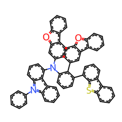 c1ccc(-n2c3ccccc3c3c(N(c4ccc5c(c4)oc4ccccc45)c4cccc(-c5cccc6c5sc5ccccc56)c4-c4ccc5oc6ccccc6c5c4)cccc32)cc1